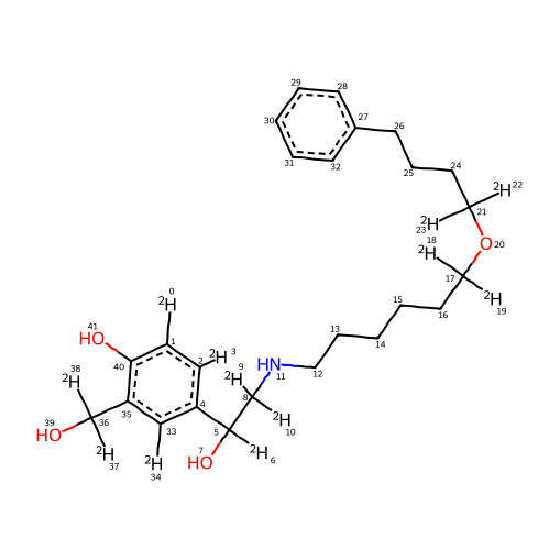 [2H]c1c([2H])c(C([2H])(O)C([2H])([2H])NCCCCCC([2H])([2H])OC([2H])([2H])CCCc2ccccc2)c([2H])c(C([2H])([2H])O)c1O